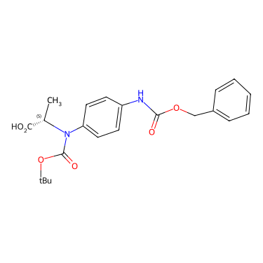 C[C@@H](C(=O)O)N(C(=O)OC(C)(C)C)c1ccc(NC(=O)OCc2ccccc2)cc1